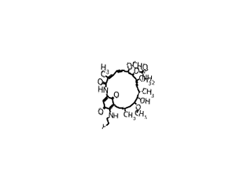 COC1/C=C\C=C(/C)C(=O)NC2=CC(=O)C(NCCF)=C(CC(C)CC(OC)[C@H](O)[C@@H](C)/C=C(\C)C1OC(N)=O)C2=O